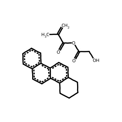 C=C(C)C(=O)OC(=O)CO.c1ccc2c(c1)ccc1c3c(ccc12)CCCC3